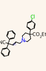 CCOC(=O)C1(c2ccc(Cl)cc2)CCN(C/C=C/C(C#N)(c2ccccc2)c2ccccc2)CC1